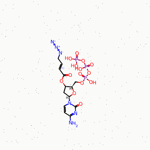 [N-]=[N+]=NC/C=C/C(=O)OC1C[C@H](n2ccc(N)nc2=O)O[C@@H]1COP(=O)(O)OP(=O)(O)OP(=O)(O)O